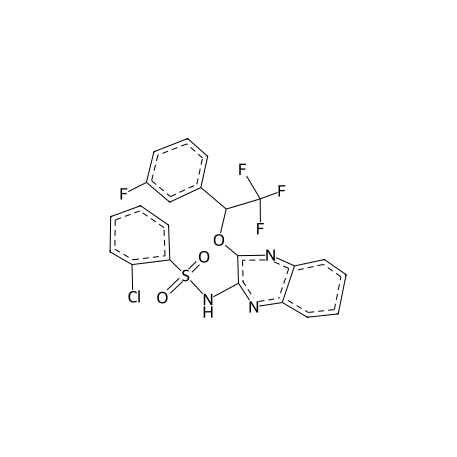 O=S(=O)(Nc1nc2ccccc2nc1OC(c1cccc(F)c1)C(F)(F)F)c1ccccc1Cl